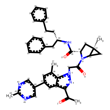 CC(=O)c1nn(CC(=O)N2C3C[C@]3(C)C[C@H]2C(=O)N[C@@H](CCc2ccccc2)Cc2ccccc2)c2c(C)cc(-c3cnc(C)nc3)cc12